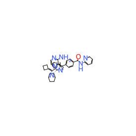 C=CC(=C1CCC1)N1C2CCC1[C@@H](c1nc(-c3ccc(C(=O)Nc4ccccn4)cc3)c3c(N)nccn13)C2